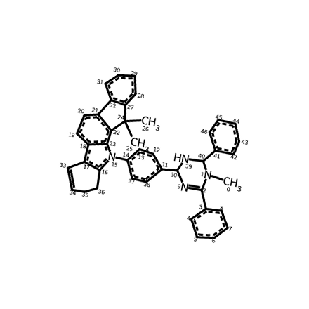 CN1C(c2ccccc2)=NC(c2ccc(-n3c4c(c5ccc6c(c53)C(C)(C)c3ccccc3-6)C=CCC4)cc2)NC1c1ccccc1